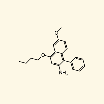 CCCCOc1cc(N)c(-c2ccccc2)c2ccc(OC)cc12